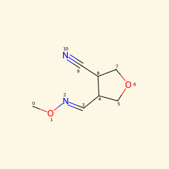 CON=CC1COCC1C#N